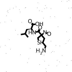 CC(C)C[C@H](NC(=O)C(CS)(CCCN)N=O)C(=O)O